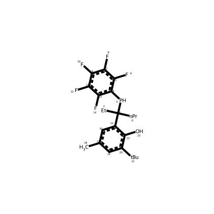 CCCC(CC)(Pc1c(F)c(F)c(F)c(F)c1F)c1cc(C)cc(C(C)(C)C)c1O